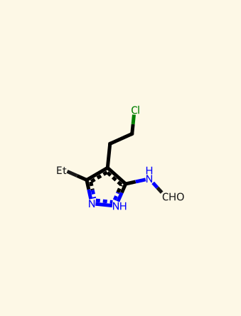 [CH2]Cc1n[nH]c(NC=O)c1CCCl